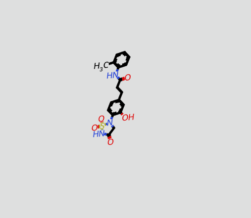 Cc1ccccc1NC(=O)CCc1ccc(N2CC(=O)NS2(=O)=O)c(O)c1